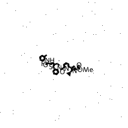 COC(=O)n1cc(-c2cccc(C(=O)N3CCc4cc(C(=O)Nc5c(C)cccc5F)sc4-c4ccccc43)n2)c(C2CC2)n1